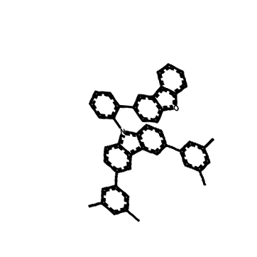 Cc1cc(C)cc(-c2ccc3c(c2)c2cc(-c4cc(C)cc(C)c4)ccc2n3-c2ccccc2-c2ccc3oc4ccccc4c3c2)c1